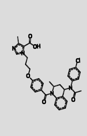 CC(=O)N(c1ccc(Cl)cc1)C1CC(C)N(C(=O)c2ccc(OCCCn3cnc(C)c3C(=O)O)cc2)c2ccccc21